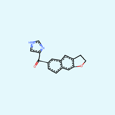 O=C(c1ccc2cc3c(cc2c1)CCO3)c1c[nH]cn1